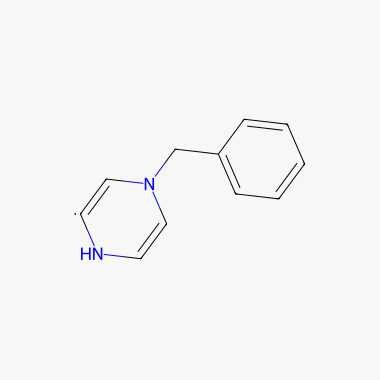 [C]1=CN(Cc2ccccc2)C=CN1